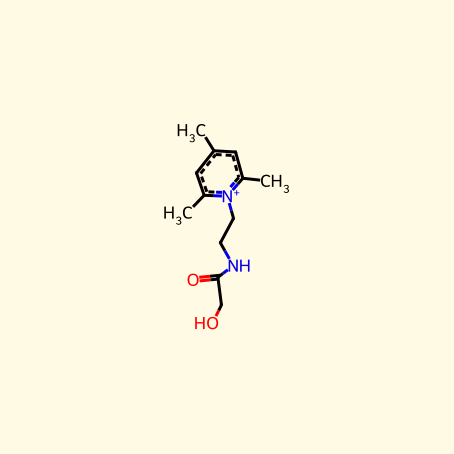 Cc1cc(C)[n+](CCNC(=O)CO)c(C)c1